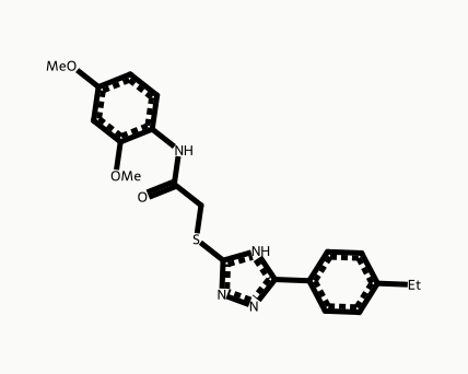 CCc1ccc(-c2nnc(SCC(=O)Nc3ccc(OC)cc3OC)[nH]2)cc1